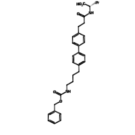 CC(C)[C@H](NC(=O)CCc1ccc(-c2ccc(CCCCNC(=O)OCc3ccccc3)cc2)cc1)C(=O)O